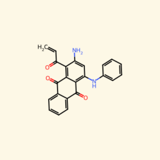 C=CC(=O)c1c(N)cc(Nc2ccccc2)c2c1C(=O)c1ccccc1C2=O